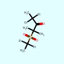 CCC(C)(CC)C(=O)C(C)(C)S(=O)(=O)C(C)(CC)CC